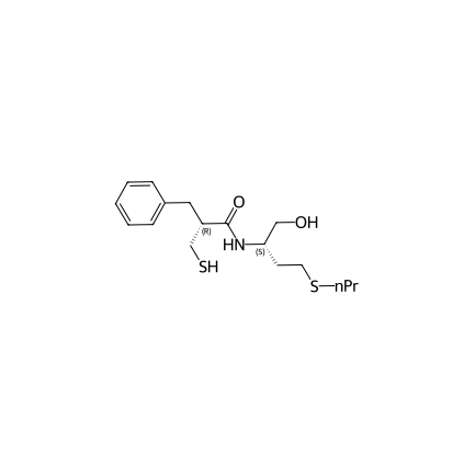 CCCSCC[C@@H](CO)NC(=O)[C@H](CS)Cc1ccccc1